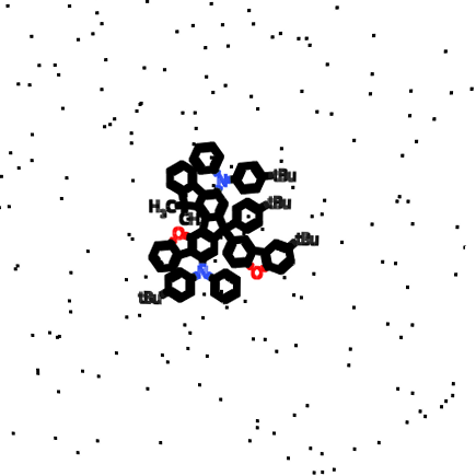 CC(C)(C)c1ccc(N(c2ccccc2)c2cc3c(c4c2-c2ccccc2C4(C)C)-c2c(cc(N(c4ccccc4)c4ccc(C(C)(C)C)cc4)c4c2oc2ccccc24)C3(c2ccc(C(C)(C)C)cc2)c2ccc3oc4ccc(C(C)(C)C)cc4c3c2)cc1